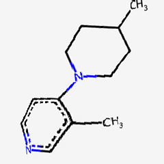 Cc1cnccc1N1CCC(C)CC1